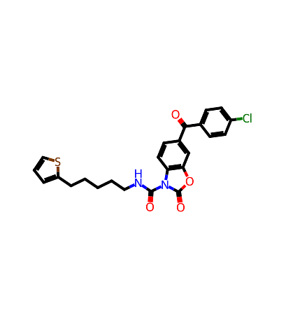 O=C(c1ccc(Cl)cc1)c1ccc2c(c1)oc(=O)n2C(=O)NCCCCCc1cccs1